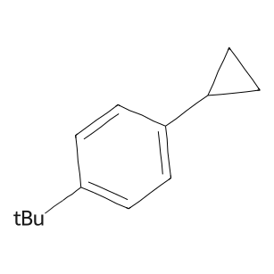 CC(C)(C)c1ccc(C2CC2)cc1